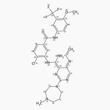 C=C/N=C1/C=NC(N2CCCN(C)CC2)=N/C1=C(/N)Nc1cc(C(=O)Nc2ccc(OC)c(C(F)(F)F)c2)ccc1Cl